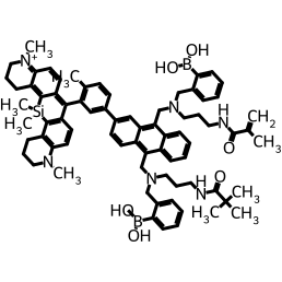 C=C(C)C(=O)NCCCN(Cc1ccccc1B(O)O)Cc1c2ccccc2c(CN(CCCNC(=O)C(C)(C)C)Cc2ccccc2B(O)O)c2ccc(-c3ccc(C)c(C4=c5ccc6c(c5[Si](C)(C)c5c4ccc4c5CCCN4C)CCC[N+]=6C)c3)cc12